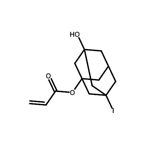 C=CC(=O)OC12CC3CC(O)(CC(I)(C3)C1)C2